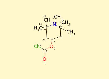 CN1C(C)(C)CC(OC(=O)Cl)CC1(C)C